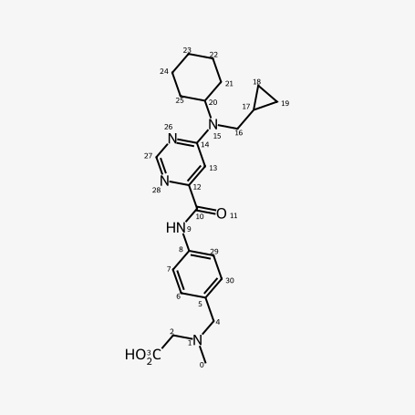 CN(CC(=O)O)Cc1ccc(NC(=O)c2cc(N(CC3CC3)C3CCCCC3)ncn2)cc1